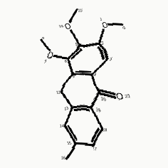 COc1cc2c(c(OC)c1OC)Cc1cc(C)ccc1C2=O